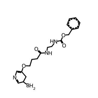 BC1C=NC=C(OCCCC(=O)NCCNC(=O)OCc2ccccc2)C1